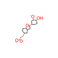 COC(=O)CCc1ccc2oc(-c3ccc(O)c(OC)c3)cc2c1